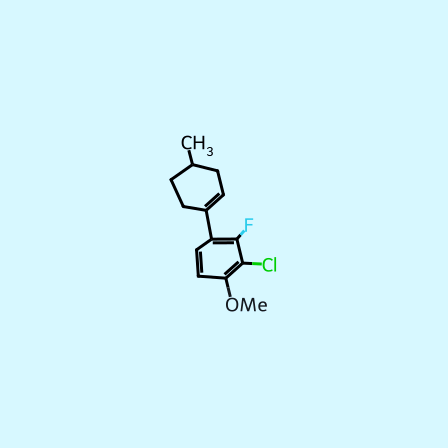 COc1ccc(C2=CCC(C)CC2)c(F)c1Cl